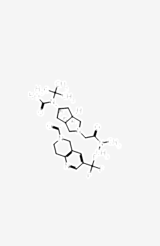 CN(C)C(=O)CN1C[C@@H]2C[C@@H](N(C(=O)O)C(C)(C)C)C[C@]2(C(=O)N2CCc3ncc(C(F)(F)F)cc3C2)C1